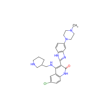 CN1CCN(c2ccc3[nH]c(-c4c(NCC5CCCNC5)c5cc(Cl)ccc5[nH]c4=O)nc3c2)CC1